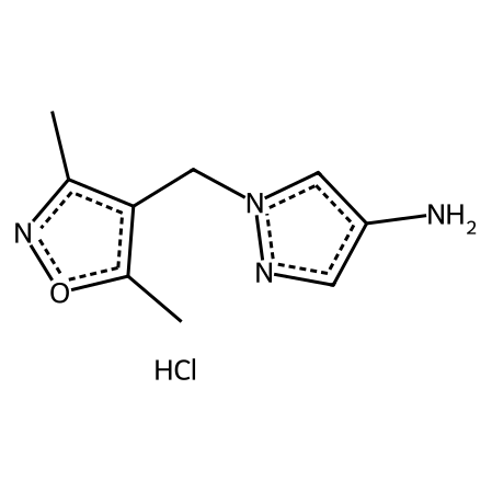 Cc1noc(C)c1Cn1cc(N)cn1.Cl